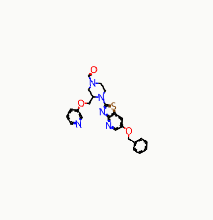 O=CN1CCN(c2nc3ncc(OCc4ccccc4)cc3s2)C(COc2cccnc2)C1